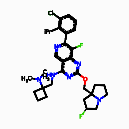 CC(C)c1c(Cl)cccc1-c1ncc2c(NCC3(N(C)C)CCC3)nc(OC[C@@]34CCCN3C[C@H](F)C4)nc2c1F